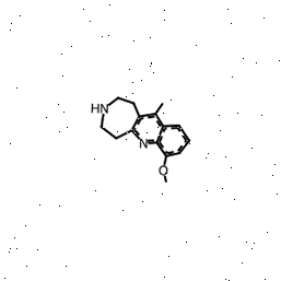 COc1cccc2c(C)c3c(nc12)CCNCC3